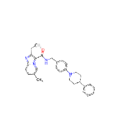 CCc1nc2ccc(C)cn2c1C(=O)NCc1ccc(N2CCC(c3ccccc3)CC2)cc1